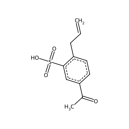 C=CCc1ccc(C(C)=O)cc1S(=O)(=O)O